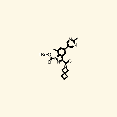 Cc1ncc(-c2cc(C)c3c(c2)c(C(=O)N2CC4(CCC4)C2)nn3C(=O)OC(C)(C)C)cn1